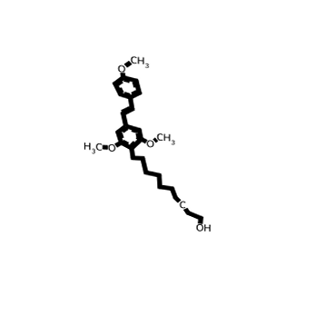 COc1ccc(/C=C/c2cc(OC)c(CCCCCCCCCCO)c(OC)c2)cc1